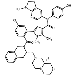 Cc1c(C(=O)N(c2ccc(O)cc2)c2cnc3c(c2)CCN3C)cc(-c2cc(Cl)ccc2C(=O)N2Cc3ccccc3C[C@H]2CN2CCN3CCOC[C@@H]3C2)n1C